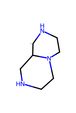 [CH]1NCCN2CCNCC12